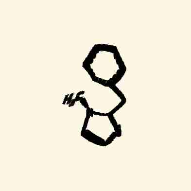 CN1C=CSC1Cc1ccccc1